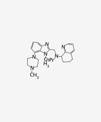 CCCN(Cc1nc2cccc(N3CCN(C)CC3)c2n1C)C1CCCc2cccnc21